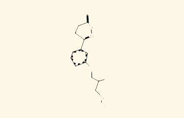 CC(C)NCC(O)COc1cccc(C2=NNC(=O)CC2)c1